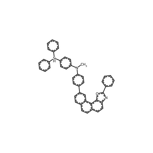 CN(c1ccc(-c2ccc3ccc4ccc5nc(-c6ccccc6)oc5c4c3c2)cc1)c1ccc([SiH](c2ccccc2)c2ccccc2)cc1